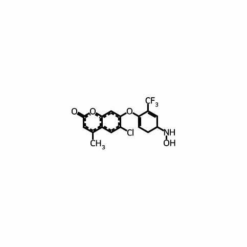 Cc1cc(=O)oc2cc(OC3=CCC(NO)C=C3C(F)(F)F)c(Cl)cc12